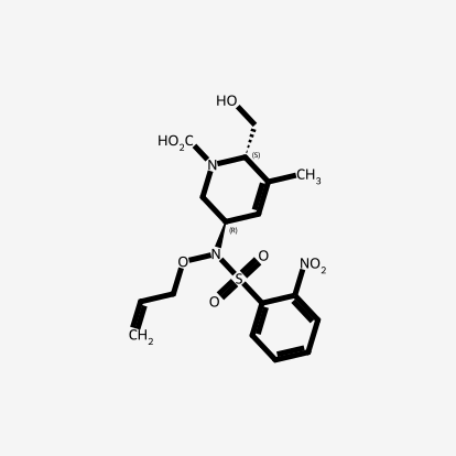 C=CCON([C@@H]1C=C(C)[C@@H](CO)N(C(=O)O)C1)S(=O)(=O)c1ccccc1[N+](=O)[O-]